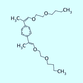 CCCCOCCOC=C(C)c1ccc(/C(C)=C\OCCOCCCC)cc1